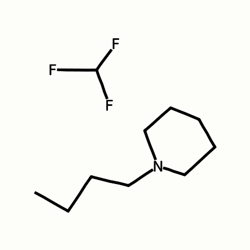 CCCCN1CCCCC1.FC(F)F